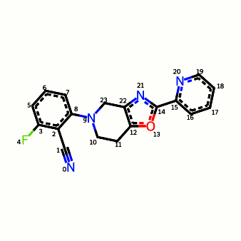 N#Cc1c(F)cccc1N1CCc2oc(-c3ccccn3)nc2C1